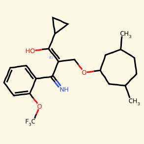 CC1CCC(C)CC(OC/C(C(=N)c2ccccc2OC(F)(F)F)=C(/O)C2CC2)C1